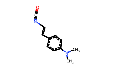 CN(C)c1ccc(C=CN=C=O)cc1